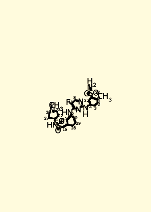 Cc1ccc(Nc2ncc(F)c(NC3=CC(=CS(=O)(=O)NC4CCN(C)CC4)CC=C3)n2)cc1S(N)(=O)=O